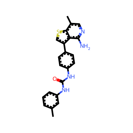 Cc1cccc(NC(=O)Nc2ccc(-c3csc4c(C)cnc(N)c34)cc2)c1